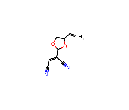 C=CC1COC(C(C#N)=CC#N)O1